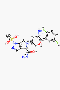 CS(=O)(=O)n1ncc2c1CN([C@H]1CO[C@H](c3cc(F)ccc3F)[C@@H](N)C1)C2C(N)=O